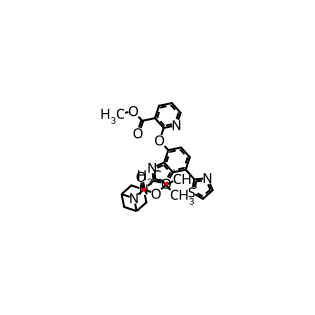 COC(=O)c1cccnc1Oc1ccc(-c2nccs2)c2oc(N3CC4CC(C3)N4C(=O)OC(C)(C)C)nc12